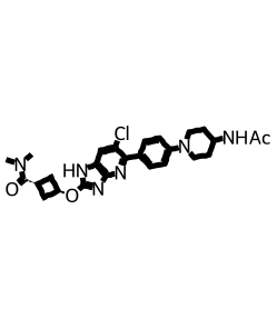 CC(=O)NC1CCN(c2ccc(-c3nc4nc(O[C@H]5C[C@@H](C(=O)N(C)C)C5)[nH]c4cc3Cl)cc2)CC1